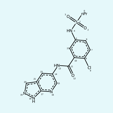 CCCS(=O)(=O)Nc1ccc(Cl)c(C(=O)Nc2cnc3[nH]ncc3c2)c1